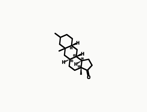 CC1CC[C@@H]2C[C@H]3[C@@H](CC[C@@]4(C)C(=O)CC[C@H]34)CC2(C)C1